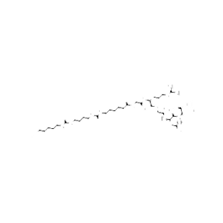 CCCCCCNC(=O)NCCCCNC(=O)NCCCCCC(=O)NCC(=O)N[C@@H](CCCNC(=N)N)C(=O)NCC(=O)N[C@@H](CC(=O)O)C(=O)N[C@@H](CO)C(=O)O